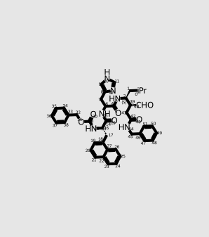 CC(C)C[C@H](NC(=O)C(Cc1c[nH]cn1)NC(=O)[C@H](Cc1cccc2ccccc12)NC(=O)OCc1ccccc1)[C@@H](C=O)CC(=O)NCc1ccccc1